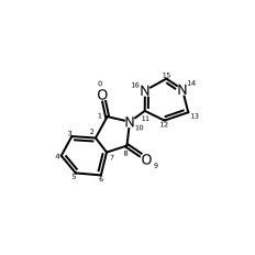 O=C1c2ccccc2C(=O)N1c1ccncn1